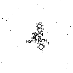 CN(Cc1ccccc1)C(=O)[C@H]1C[C@@H](S)CN1C(=O)Nc1ccc2ccccc2c1